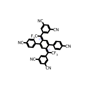 N#Cc1ccc(-c2c/c(=C(\c3cc(C#N)cc(C#N)c3)C(F)(F)F)c(-c3ccc(C#N)cc3)c/c2=C(\c2cc(C#N)cc(C#N)c2)C(F)(F)F)cc1